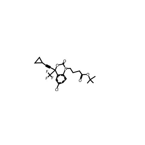 CC(C)(C)OC(=O)CCCN1C(=O)OC(C#CC2CC2)(C(F)(F)F)c2cc(Cl)ccc21